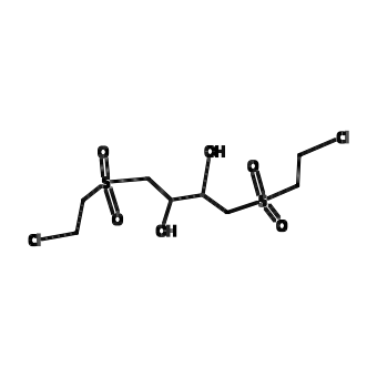 O=S(=O)(CCCl)CC(O)C(O)CS(=O)(=O)CCCl